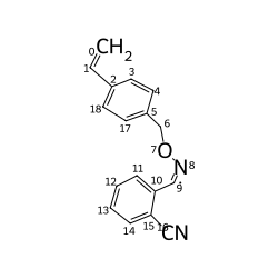 C=Cc1ccc(CO/N=[C]\c2ccccc2C#N)cc1